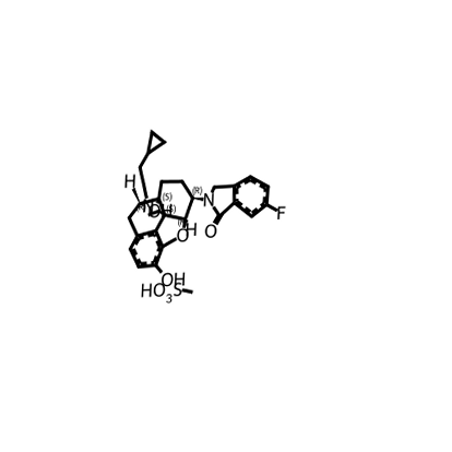 CS(=O)(=O)O.O=C1c2cc(F)ccc2CN1[C@@H]1CC[C@@]2(O)[C@H]3Cc4ccc(O)c5c4[C@@]2(CCN3CC2CC2)[C@H]1O5